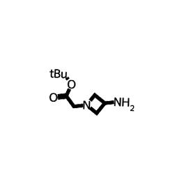 CC(C)(C)OC(=O)CN1CC(N)C1